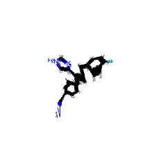 N#Cc1ccc(C(=CCc2ccc(F)cc2)c2c[nH]cn2)cc1